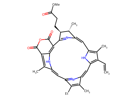 C=Cc1c(C)c2cc3nc(c4c5[nH]c(cc6nc(cc1[nH]2)C(C)=C6CC)c(C)c5C(=O)OC4=O)[C@@H](CCC(=O)OC)[C@@H]3C